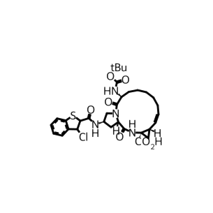 CC(C)(C)OC(=O)N[C@H]1CCCCC/C=C\[C@@H]2C[C@@]2(C(=O)O)NC(=O)[C@@H]2C[C@@H](NC(=O)C3Sc4ccccc4C3Cl)CN2C1=O